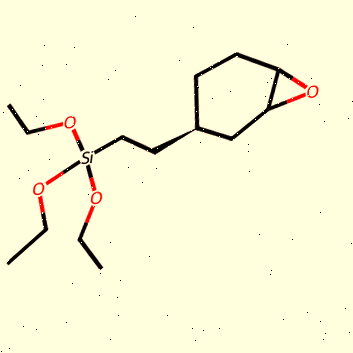 CCO[Si](CC[C@H]1CCC2OC2C1)(OCC)OCC